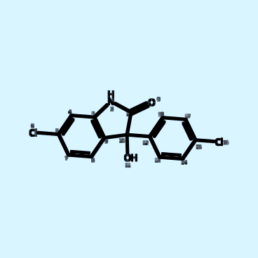 O=C1Nc2cc(Cl)ccc2C1(O)c1ccc(Cl)cc1